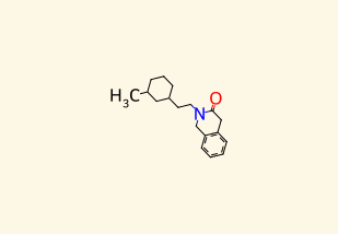 CC1CCCC(CCN2Cc3ccccc3CC2=O)C1